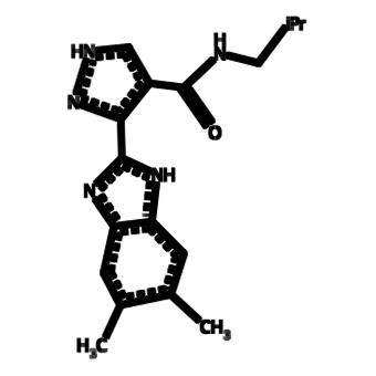 Cc1cc2nc(-c3n[nH]cc3C(=O)NCC(C)C)[nH]c2cc1C